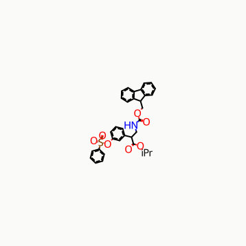 CC(C)OC(=O)C(CNC(=O)OCC1c2ccccc2-c2ccccc21)c1cccc(OS(=O)(=O)c2ccccc2)c1